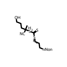 CCCCCCCCCCCC[SH2]C(=S)[SH2]C(C)(C#N)CCCO